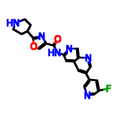 O=C(Nc1cc2cc(-c3cncc(F)c3)cnc2cn1)c1coc(C2CCNCC2)n1